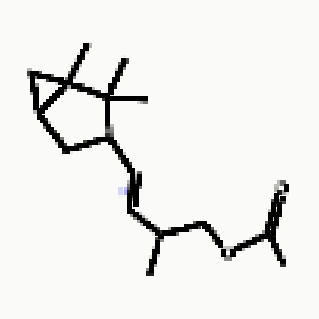 CC(=O)OCC(C)/C=C/C1CC2CC2(C)C1(C)C